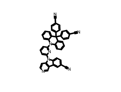 N#Cc1ccc(C2(c3ccc(C#N)cc3)c3ccccc3N(c3cccc(-n4c5ccncc5c5cc(C#N)ccc54)n3)c3ccccc32)cc1